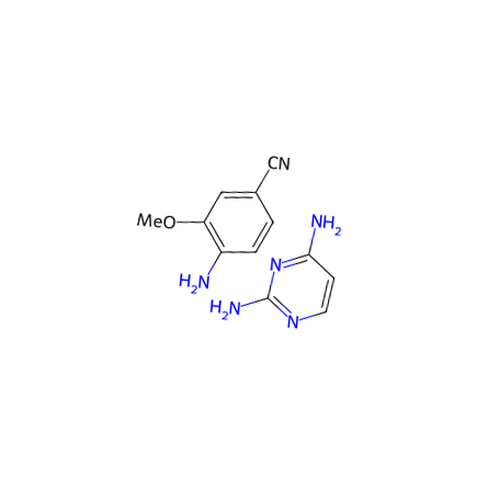 COc1cc(C#N)ccc1N.Nc1ccnc(N)n1